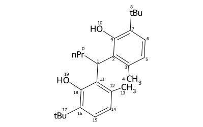 CCCC(c1c(C)ccc(C(C)(C)C)c1O)c1c(C)ccc(C(C)(C)C)c1O